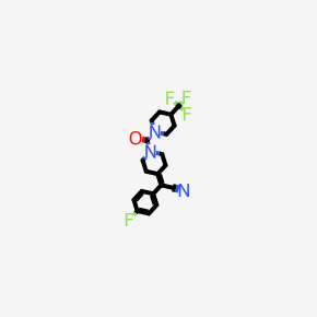 N#CC(=C1CCN(C(=O)N2CCC(C(F)(F)F)CC2)CC1)c1ccc(F)cc1